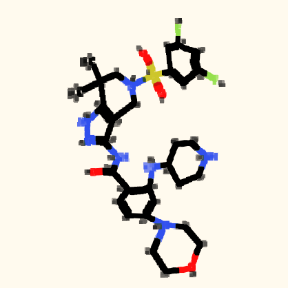 CC1(C)CN(S(=O)(=O)c2cc(F)cc(F)c2)Cc2c(NC(=O)c3ccc(N4CCOCC4)cc3NC3CCNCC3)n[nH]c21